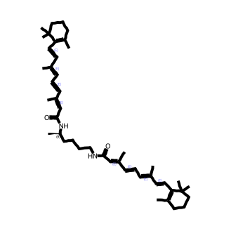 CC1=C(/C=C/C(C)=C/C=C/C(C)=C/C(=O)NCCCC[C@@H](C)NC(=O)/C=C(C)/C=C/C=C(C)/C=C/C2=C(C)CCCC2(C)C)C(C)(C)CCC1